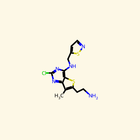 Cc1c(CCN)sc2c(NCc3ccns3)nc(Cl)nc12